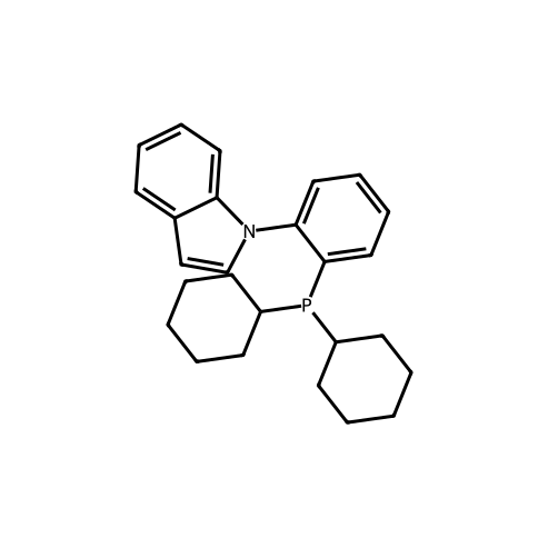 c1ccc(P(C2CCCCC2)C2CCCCC2)c(-n2ccc3ccccc32)c1